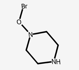 BrON1CCNCC1